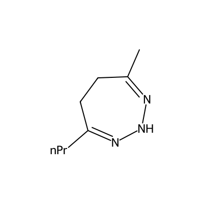 CCCC1=NNN=C(C)CC1